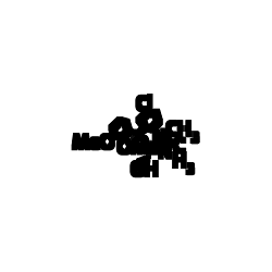 COc1cccc([C@@H]2O[C@@H](CCO)c3nc(C)c(C)n3-c3ccc(Cl)cc32)c1OC